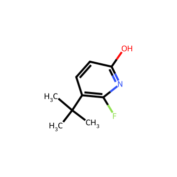 CC(C)(C)c1ccc(O)nc1F